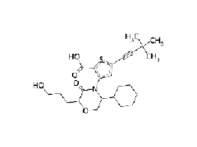 CC(C)(C)C#Cc1cc(N2C(=O)C(CCCO)OCC2C2CCCCC2)c(C(=O)O)s1